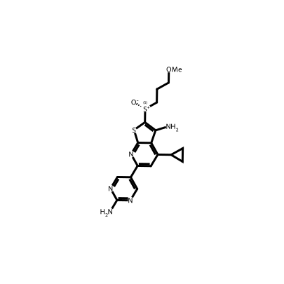 COCCC[S@@+]([O-])c1sc2nc(-c3cnc(N)nc3)cc(C3CC3)c2c1N